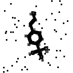 CCC=Cc1ccc(S(=O)(=O)Cl)cc1